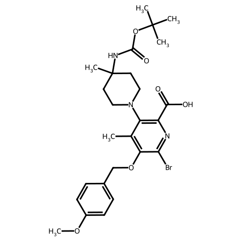 COc1ccc(COc2c(Br)nc(C(=O)O)c(N3CCC(C)(NC(=O)OC(C)(C)C)CC3)c2C)cc1